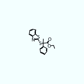 CCOC(=O)C(C)(Sc1nc2ccccc2s1)c1ccccc1